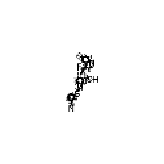 COc1ccc2nccc([C@@H](F)CC[C@@H]3CCN(CCSc4cccc(C#N)c4)C[C@@H]3CO)c2c1